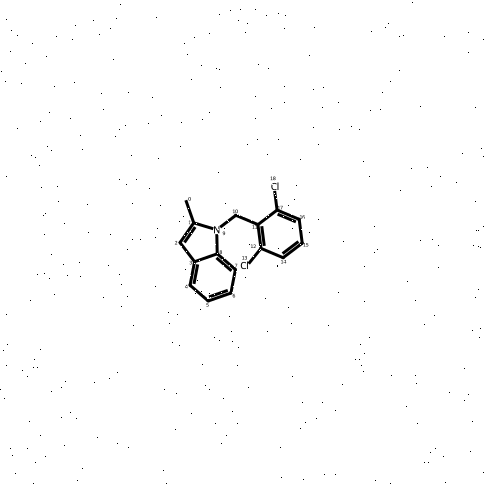 Cc1cc2ccccc2n1Cc1c(Cl)cccc1Cl